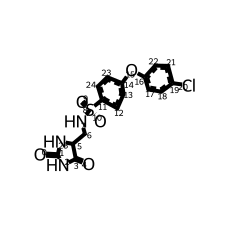 O=C1NC(=O)C(CNS(=O)(=O)c2ccc(Oc3ccc(Cl)cc3)cc2)N1